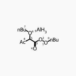 CCCCOOC(=O)C(OCCCC)C(C)=O.[AlH3]